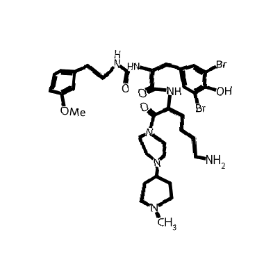 COc1cccc(CCNC(=O)NC(Cc2cc(Br)c(O)c(Br)c2)C(=O)NC(CCCCN)C(=O)N2CCN(C3CCN(C)CC3)CC2)c1